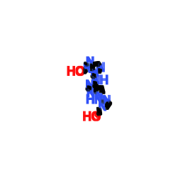 OCCn1ccnc1Nn1ccc2c(NCN3CN=Cc4ncn(CO)c43)ncnc21